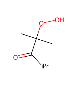 CC(C)C(=O)C(C)(C)OO